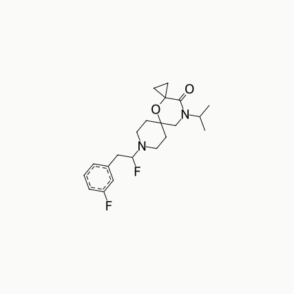 CC(C)N1CC2(CCN(C(F)Cc3cccc(F)c3)CC2)OC2(CC2)C1=O